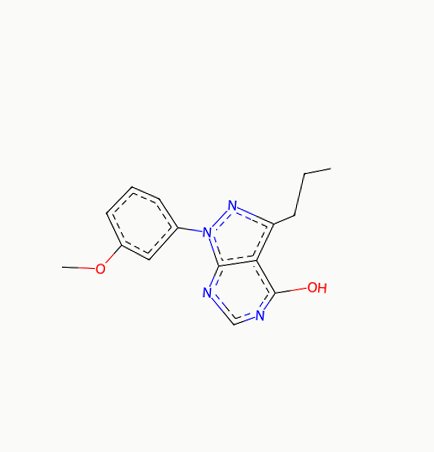 CCCc1nn(-c2cccc(OC)c2)c2ncnc(O)c12